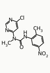 Cc1ccc([N+](=O)[O-])cc1NC(=O)N(C)c1cc(Cl)ncn1